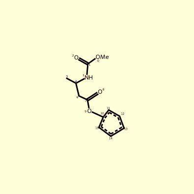 COC(=O)NC(C)CC(=O)Oc1ccccc1